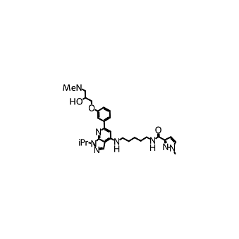 CNCC(O)COc1cccc(-c2cc(NCCCCCNC(=O)c3ccn(C)n3)c3cnn(C(C)C)c3n2)c1